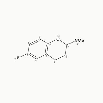 CNC1CCc2cc(F)ccc2O1